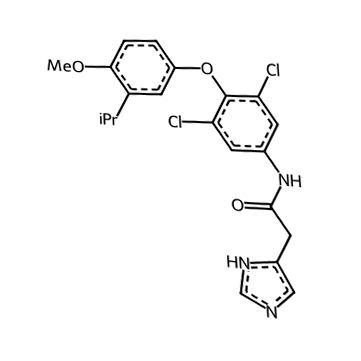 COc1ccc(Oc2c(Cl)cc(NC(=O)Cc3cnc[nH]3)cc2Cl)cc1C(C)C